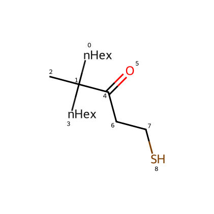 CCCCCCC(C)(CCCCCC)C(=O)CCS